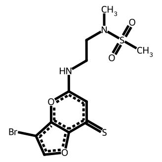 CN(CCNc1cc(=S)c2occ(Br)c2o1)S(C)(=O)=O